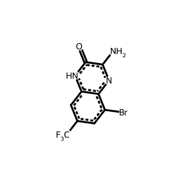 Nc1nc2c(Br)cc(C(F)(F)F)cc2[nH]c1=O